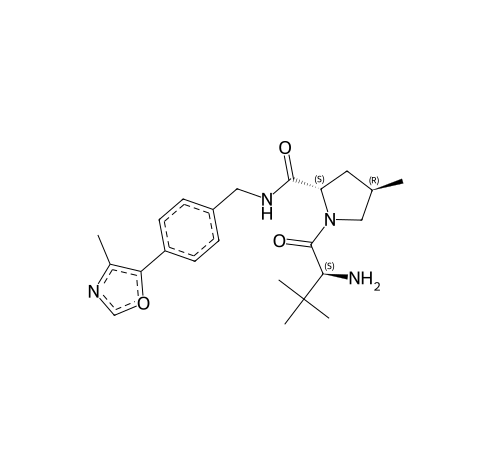 Cc1ncoc1-c1ccc(CNC(=O)[C@@H]2C[C@@H](C)CN2C(=O)[C@@H](N)C(C)(C)C)cc1